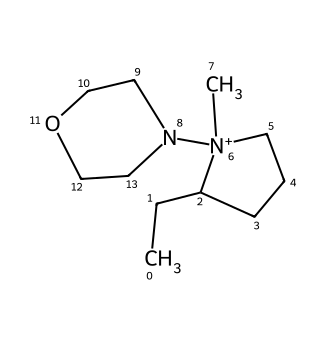 CCC1CCC[N+]1(C)N1CCOCC1